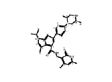 Cc1cc(C)c(CNC(=O)c2cc(-c3ccc(N4C[C@H](C)NCC4C)nc3)cc3c2c(C)cn3C(C)C)c(=O)[nH]1